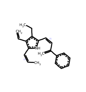 C=Cc1c(/C=C\C)[nH]c(/C=C\C(=C)c2ccccc2)c1CC